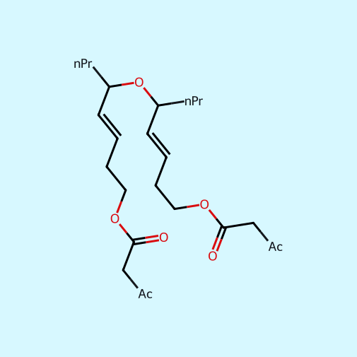 CCCC(C=CCCOC(=O)CC(C)=O)OC(C=CCCOC(=O)CC(C)=O)CCC